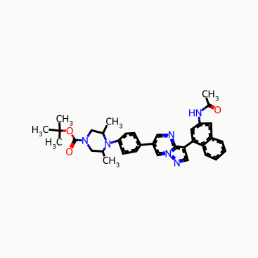 CC(=O)Nc1cc(-c2cnn3cc(-c4ccc(N5C(C)CN(C(=O)OC(C)(C)C)CC5C)cc4)cnc23)c2ccccc2c1